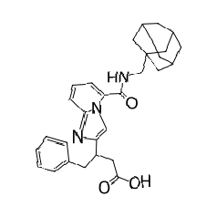 O=C(O)CC(Cc1ccccc1)c1cn2c(C(=O)NCC34CC5CC(CC(C5)C3)C4)cccc2n1